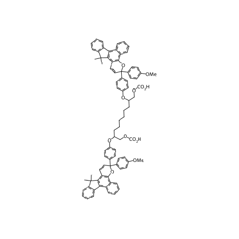 COc1ccc(C2(c3ccc(OC(CCCCCCC(COC(=O)O)Oc4ccc(C5(c6ccc(OC)cc6)C=Cc6c7c(c8ccccc8c6O5)-c5ccccc5C7(C)C)cc4)COC(=O)O)cc3)C=Cc3c4c(c5ccccc5c3O2)-c2ccccc2C4(C)C)cc1